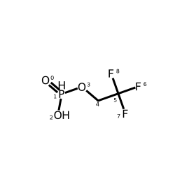 O=[PH](O)OCC(F)(F)F